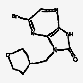 O=c1[nH]c2ncc(Br)nc2n1CC1CCOC1